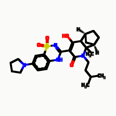 CC(C)CCN1C(=O)C(C2=NS(=O)(=O)c3cc(N4CCCC4)ccc3N2)=C(O)C2[C@H]3CC[C@H](C3)C21C